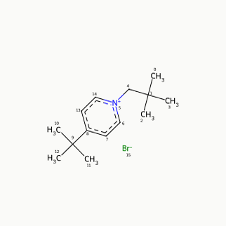 CC(C)(C)C[n+]1ccc(C(C)(C)C)cc1.[Br-]